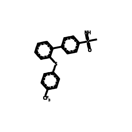 CS(=N)(=O)c1ccc(-c2ccccc2Sc2ccc(C(F)(F)F)cc2)cc1